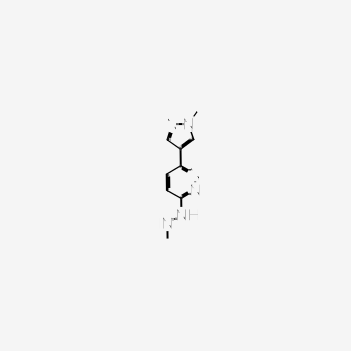 CNNc1ccc(-c2cnn(C)c2)nn1